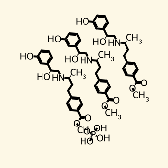 COC(=O)c1ccc(CC[C@@H](C)NC[C@H](O)c2cccc(O)c2)cc1.COC(=O)c1ccc(CC[C@@H](C)NC[C@H](O)c2cccc(O)c2)cc1.COC(=O)c1ccc(CC[C@@H](C)NC[C@H](O)c2cccc(O)c2)cc1.O=P(O)(O)O